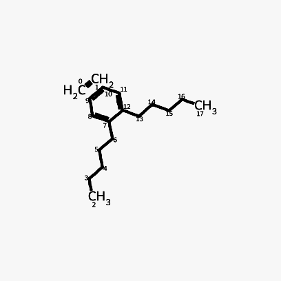 C=C.CCCCCc1ccccc1CCCCC